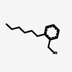 CCCCCCc1ccccc1C[NH]